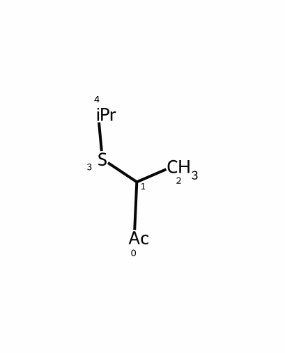 CC(=O)C(C)SC(C)C